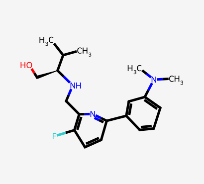 CC(C)[C@H](CO)NCc1nc(-c2cccc(N(C)C)c2)ccc1F